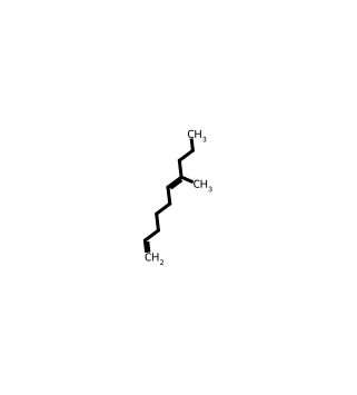 C=CCCC/C=C(\C)CCC